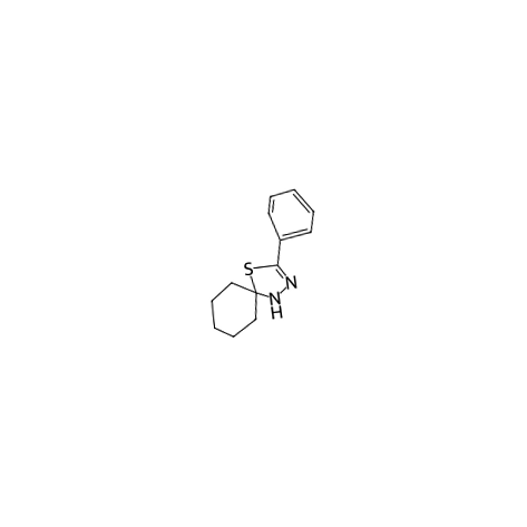 c1ccc(C2=NNC3(CCCCC3)S2)cc1